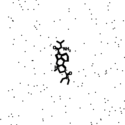 CCN(CC)C(=O)[C@@H]1C=C2c3cccc4c3c(cn4C(=O)[C@@H](N)C(C)C)C[C@H]2N(C)C1